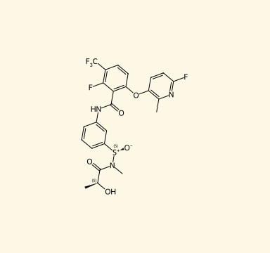 Cc1nc(F)ccc1Oc1ccc(C(F)(F)F)c(F)c1C(=O)Nc1cccc([S@@+]([O-])N(C)C(=O)[C@H](C)O)c1